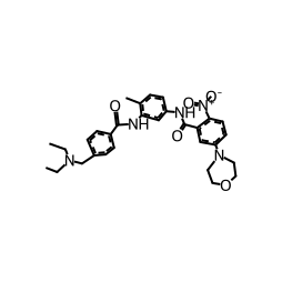 CCN(CC)Cc1ccc(C(=O)Nc2cc(NC(=O)c3cc(N4CCOCC4)ccc3[N+](=O)[O-])ccc2C)cc1